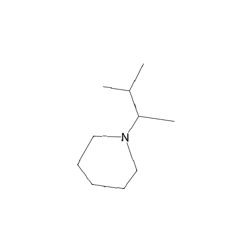 CC(C)C(C)N1CCCCC1